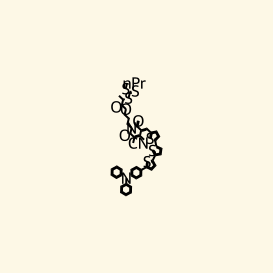 CCCSC(=S)SC(C)C(=O)OCCCN1C(=O)C(=Cc2ccc(-c3ccc(-c4ccc(-c5ccc(N(c6ccccc6)c6ccccc6)cc5)s4)s3)s2)C(C)=C(C#N)C1=O